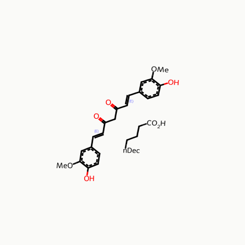 CCCCCCCCCCCCCC(=O)O.COc1cc(/C=C/C(=O)CC(=O)/C=C/c2ccc(O)c(OC)c2)ccc1O